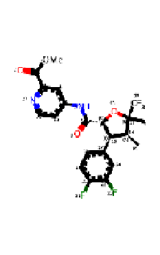 COC(=O)c1cc(NC(=O)[C@@H]2O[C@@](C)(C(F)(F)F)[C@@H](C)[C@H]2c2ccc(F)c(F)c2)ccn1